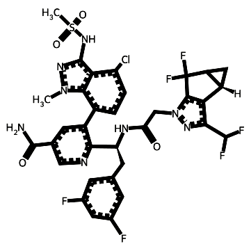 Cn1nc(NS(C)(=O)=O)c2c(Cl)ccc(-c3cc(C(N)=O)cnc3[C@H](Cc3cc(F)cc(F)c3)NC(=O)Cn3nc(C(F)F)c4c3C(F)(F)C3C[C@H]43)c21